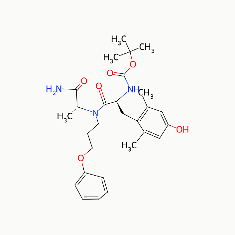 Cc1cc(O)cc(C)c1C[C@H](NC(=O)OC(C)(C)C)C(=O)N(CCCOc1ccccc1)[C@H](C)C(N)=O